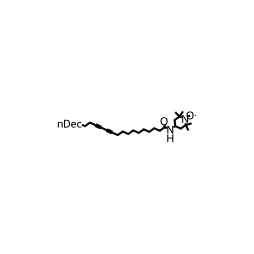 CCCCCCCCCCCCC#CC#CCCCCCCCCCC(=O)NC1CC(C)(C)N([O])C(C)(C)C1